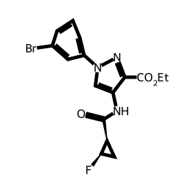 CCOC(=O)c1nn(-c2cccc(Br)c2)cc1NC(=O)[C@H]1C[C@H]1F